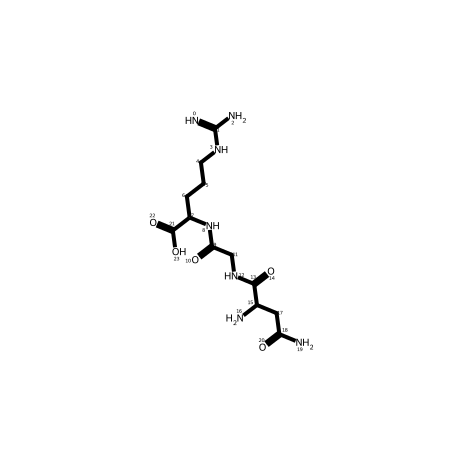 N=C(N)NCCCC(NC(=O)CNC(=O)C(N)CC(N)=O)C(=O)O